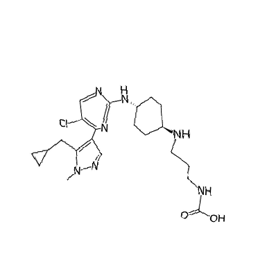 Cn1ncc(-c2nc(N[C@H]3CC[C@H](NCCCNC(=O)O)CC3)ncc2Cl)c1CC1CC1